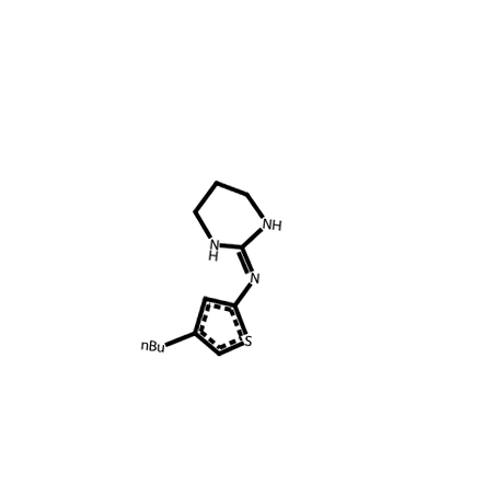 CCCCc1csc(N=C2NCCCN2)c1